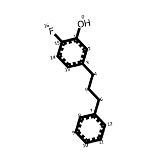 Oc1cc(CCCc2ccccc2)ccc1F